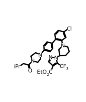 CCOC(=O)c1cnn(C2CCCN(c3cc(Cl)ccc3-c3ccc(N4CCN(C(=O)CC(C)C)CC4)cc3)C2)c1C(F)(F)F